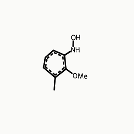 COc1c(C)cccc1NO